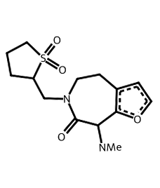 CNC1C(=O)N(CC2CCCS2(=O)=O)CCc2ccoc21